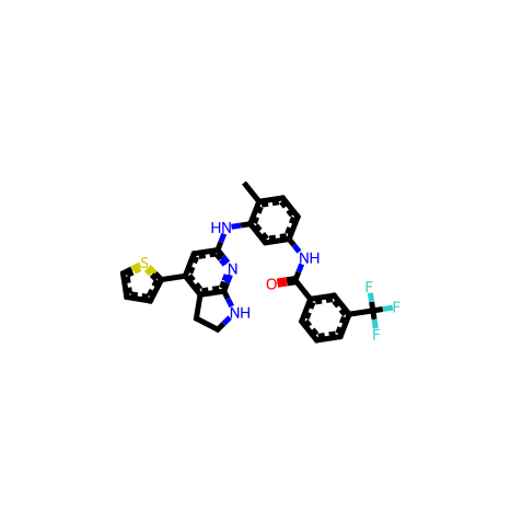 Cc1ccc(NC(=O)c2cccc(C(F)(F)F)c2)cc1Nc1cc(-c2cccs2)c2c(n1)NCC2